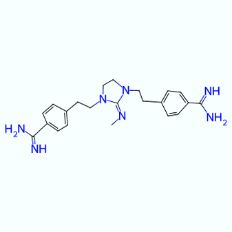 CN=C1N(CCc2ccc(C(=N)N)cc2)CCN1CCc1ccc(C(=N)N)cc1